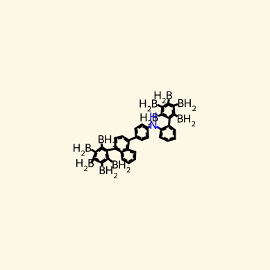 Bc1c(B)c(B)c(-c2ccccc2Nc2ccc(-c3ccc(-c4c(B)c(B)c(B)c(B)c4B)c4ccccc34)cc2)c(B)c1B